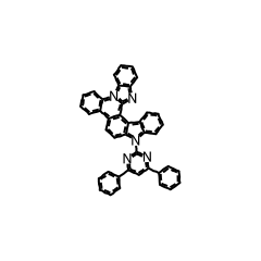 c1ccc(-c2cc(-c3ccccc3)nc(-n3c4ccccc4c4c5c(ccc43)c3ccccc3n3c4ccccc4nc53)n2)cc1